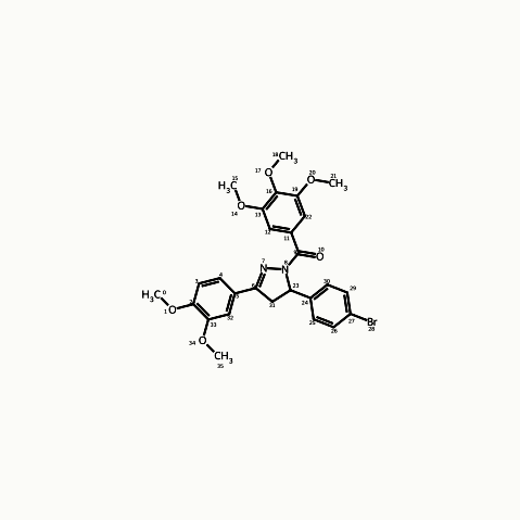 COc1ccc(C2=NN(C(=O)c3cc(OC)c(OC)c(OC)c3)C(c3ccc(Br)cc3)C2)cc1OC